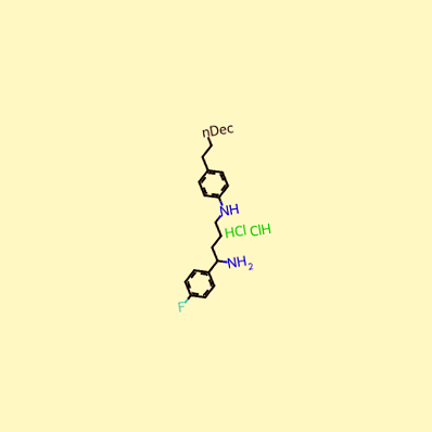 CCCCCCCCCCCCc1ccc(NCCCC(N)c2ccc(F)cc2)cc1.Cl.Cl